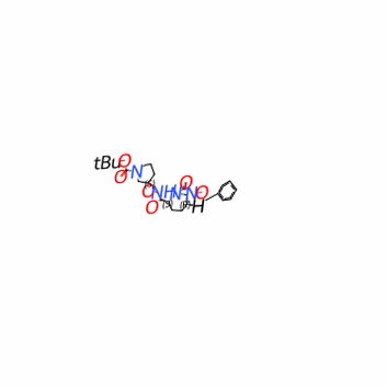 CC(C)(C)OC(=O)N1CCC[C@H](ONC(=O)[C@@H]2CC[C@@H]3CN2C(=O)N3OCc2ccccc2)C1